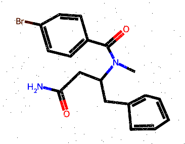 CN(C(=O)c1ccc(Br)cc1)C(CC(N)=O)Cc1ccccc1